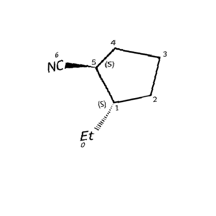 CC[C@H]1CCC[C@@H]1C#N